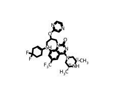 C[C@@H]1CN(c2nc(=O)n3c4c(cc(C(F)(F)F)cc24)[SH](C2=CCC(F)(F)CC2)CC(Oc2cnccn2)C3)C[C@H](C)N1